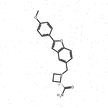 COc1ccc(-c2cc3cc(CN4CC[C@H]4C(N)=O)ccc3o2)cc1